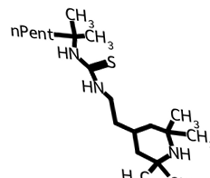 CCCCCC(C)(C)NC(=S)NCCC1CC(C)(C)NC(C)(C)C1